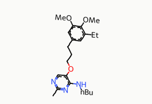 CCCCNc1nc(C)ncc1OCCCc1cc(CC)c(OC)c(OC)c1